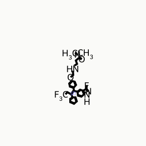 CN(C)C(=O)CCCNCCOc1ccc(/C(=C(\CC(F)(F)F)c2ccccc2)c2ccc3[nH]nc(F)c3c2)cc1